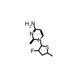 C=C1N=C(N)C=CN1C1SC(C)CC1F